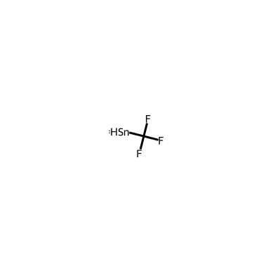 F[C](F)(F)[SnH]